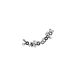 CC1(C)C(NC(=O)c2ccc(N3CCN(Cc4cc5c(cc4F)C(=O)N(C4CCC(=O)NC4=O)C5=O)CC3)nn2)C(C)(C)C1Oc1ccc(C#N)c(Cl)c1